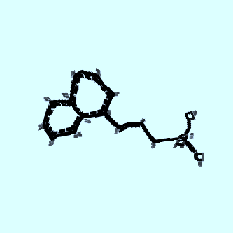 Cl[SiH](Cl)CC=Cc1cccc2ccccc12